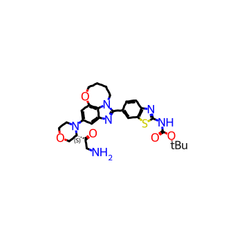 CC(C)(C)OC(=O)Nc1nc2ccc(-c3nc4cc(N5CCOC[C@H]5C(=O)CN)cc5c4n3CCCCO5)cc2s1